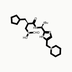 CC(C)(C)[C@H](NC(=O)[C@H](CC1CCCC1)CN(O)C=O)c1ncc(CN2CCCCC2)[nH]1